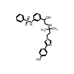 CC(C)(CCn1cnc(-c2ccc(O)cc2)c1)NCC(O)c1cccc(NS(=O)(=O)c2ccccc2)c1